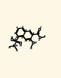 COC(=O)c1cc2cccc(S(=O)(=O)N(C)C)c2cc1OC